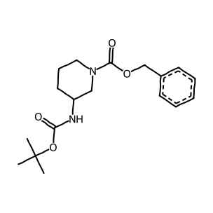 CC(C)(C)OC(=O)NC1CCCN(C(=O)OCc2ccccc2)C1